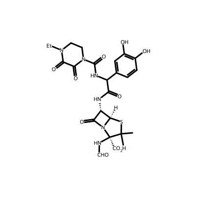 CCN1CCN(C(=O)NC(C(=O)N[C@H]2C(=O)N3[C@@H]2SC(C)(C)[C@]3(NC=O)C(=O)O)c2ccc(O)c(O)c2)C(=O)C1=O